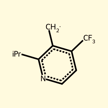 [CH2]c1c(C(F)(F)F)ccnc1C(C)C